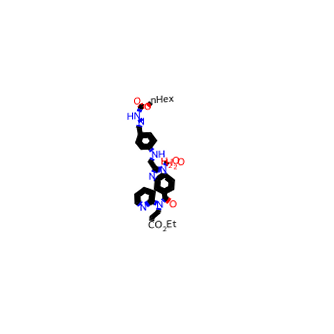 CCCCCCOC(=O)NN=Cc1ccc(NCc2nc3cc(C(=O)N(CCC(=O)OCC)c4ccccn4)ccc3n2C)cc1.O.O